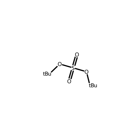 CC(C)(C)OS(=O)(=O)OC(C)(C)C